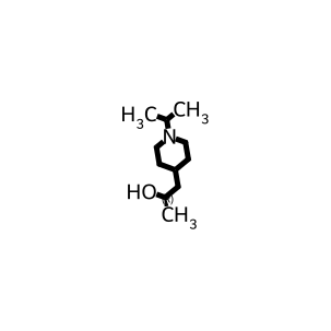 CC(C)N1CCC(C[C@@H](C)O)CC1